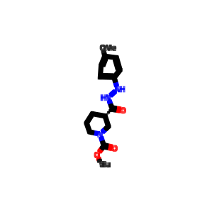 COc1ccc(NNC(=O)[C@H]2CCCN(C(=O)OC(C)(C)C)C2)cc1